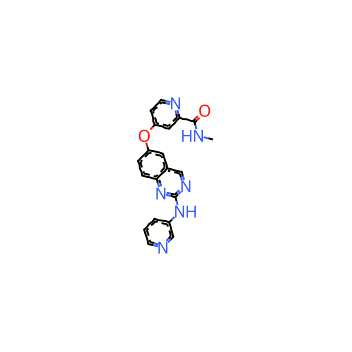 CNC(=O)c1cc(Oc2ccc3nc(Nc4cccnc4)ncc3c2)ccn1